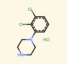 Cl.Clc1cccc(N2CCNCC2)c1Cl